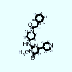 Cn1c(NC2CCN(C(=O)Cc3ccccc3)CC2)nc(-c2ccncc2)cc1=O